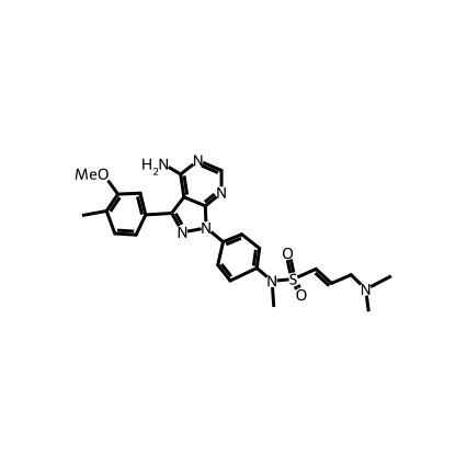 COc1cc(-c2nn(-c3ccc(N(C)S(=O)(=O)/C=C/CN(C)C)cc3)c3ncnc(N)c23)ccc1C